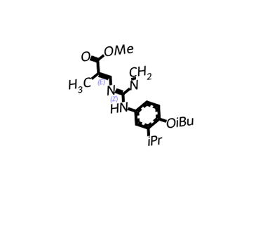 C=N/C(=N\C=C(/C)C(=O)OC)Nc1ccc(OCC(C)C)c(C(C)C)c1